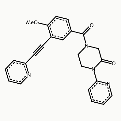 COc1ccc(C(=O)N2CCN(c3ccccn3)C(=O)C2)cc1C#Cc1ccccn1